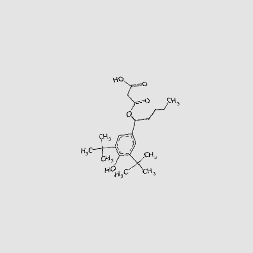 CCCCC(OC(=O)CC(=O)O)c1cc(C(C)(C)C)c(O)c(C(C)(C)C)c1